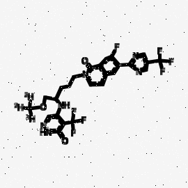 [2H]C([2H])([2H])OCC(CCCn1ccc2cc(-c3ncc(C(F)(F)F)cn3)c(F)cc2c1=O)Nc1cn[nH]c(=O)c1C(F)(F)F